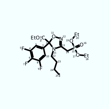 CCOC(=O)C1(c2cc(F)c(F)c(F)c2)ON=C(CP(=O)(OCC)OCC)N1CCCI